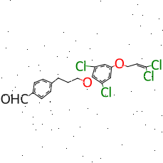 O=Cc1ccc(CCCOc2c(Cl)cc(OCC=C(Cl)Cl)cc2Cl)cc1